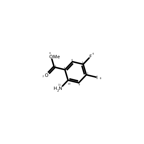 COC(=O)c1cc(F)c(I)cc1N